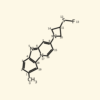 Cc1ccc2nc3cc(N4CC(SF)C4)ccn3c2c1